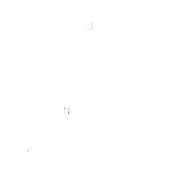 Clc1cc(I)cc(N2CCOCC2)c1